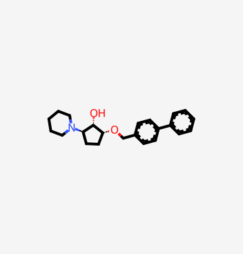 O[C@H]1[C@H](N2CCCCC2)CC[C@H]1OCc1ccc(-c2ccccc2)cc1